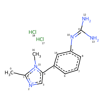 Cc1ncc(-c2cccc(N=C(N)N)c2)n1C.Cl.Cl